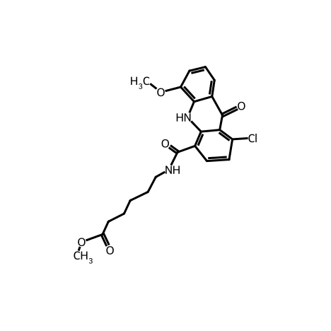 COC(=O)CCCCCNC(=O)c1ccc(Cl)c2c(=O)c3cccc(OC)c3[nH]c12